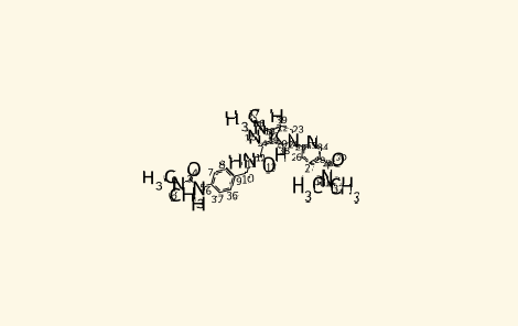 CN(C)C(=O)Nc1ccc(CNC(=O)c2nn(C)c3c2[C@H]2C[C@@H]3CN2c2ccc(C(=O)N(C)C)cn2)cc1